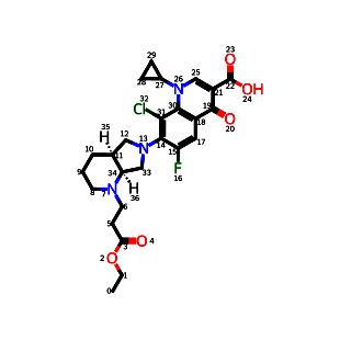 CCOC(=O)CCN1CCC[C@H]2CN(c3c(F)cc4c(=O)c(C(=O)O)cn(C5CC5)c4c3Cl)C[C@H]21